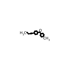 CCCC#Cc1ccc(C(=O)c2ccc(C)cc2)cc1